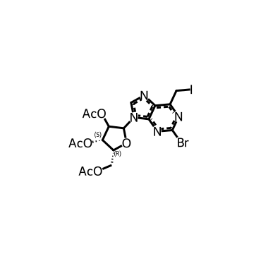 CC(=O)OC[C@H]1OC(n2cnc3c(CI)nc(Br)nc32)C(OC(C)=O)[C@H]1OC(C)=O